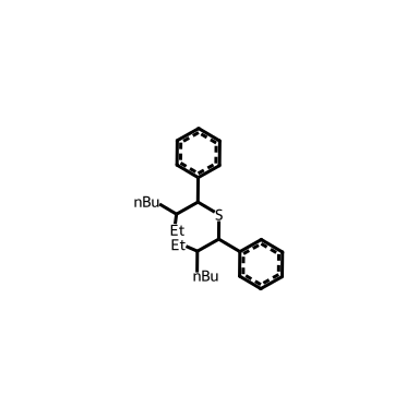 CCCCC(CC)C(SC(c1ccccc1)C(CC)CCCC)c1ccccc1